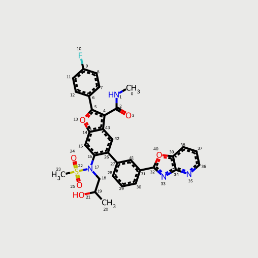 CNC(=O)c1c(-c2ccc(F)cc2)oc2cc(N(CC(C)O)S(C)(=O)=O)c(-c3cccc(-c4nc5ncccc5o4)c3)cc12